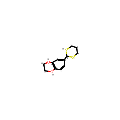 c1cc2c(cc1C1SCCCS1)OCCO2